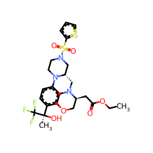 CCOC(=O)C[C@H]1COCCN1C[C@H]1CN(S(=O)(=O)c2cccs2)CCN1c1ccc([C@@](C)(O)C(F)(F)F)cc1